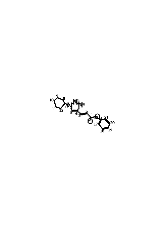 O=C(/C=C/c1cn(C2CCCCC2)nn1)Oc1ccccc1